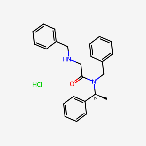 C[C@@H](c1ccccc1)N(Cc1ccccc1)C(=O)CNCc1ccccc1.Cl